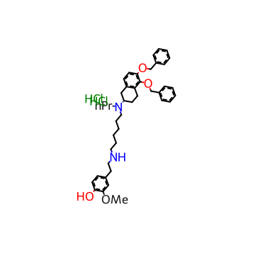 CCCN(CCCCCCNCCc1ccc(O)c(OC)c1)[C@H]1CCc2c(ccc(OCc3ccccc3)c2OCc2ccccc2)C1.Cl.Cl